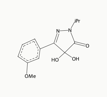 COc1cccc(C2=NN(C(C)C)C(=O)C2(O)O)c1